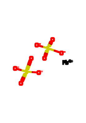 O=S(=O)([O-])[O-].O=S(=O)([O-])[O-].[Pb+4]